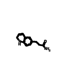 NC(=O)CCc1ccc2c(c1)C=CCN2